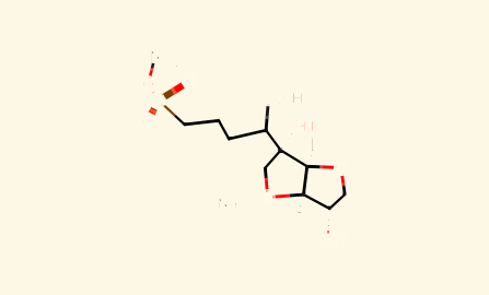 O=[N+]([O-])OS(=O)(=O)CCCC([C@]1(O)CO[C@@H]2[C@@H](O)CO[C@@H]21)S(=O)(=O)O.[NaH]